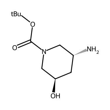 CC(C)(C)OC(=O)N1C[C@H](N)C[C@@H](O)C1